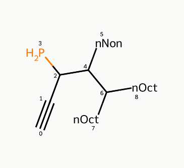 C#CC(P)C(CCCCCCCCC)C(CCCCCCCC)CCCCCCCC